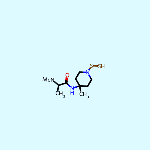 CNC(C)C(=O)NC1(C)CCN(SS)CC1